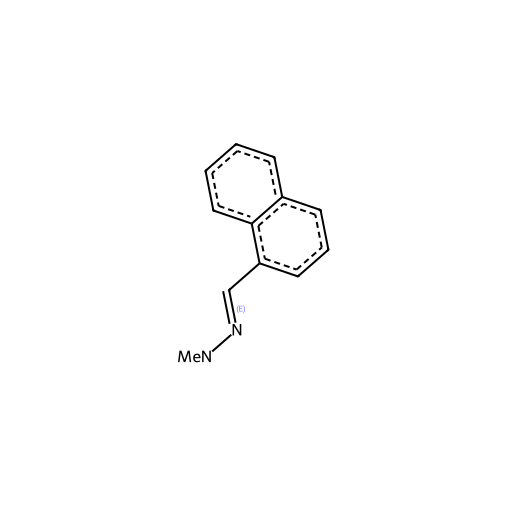 CN/N=C/c1cccc2ccccc12